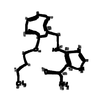 CCCCOc1cccnc1CNc1nc[nH]c1C(N)=O